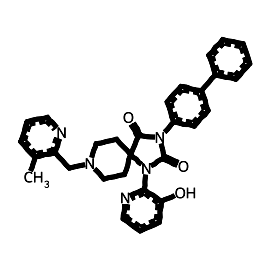 Cc1cccnc1CN1CCC2(CC1)C(=O)N(c1ccc(-c3ccccc3)cc1)C(=O)N2c1ncccc1O